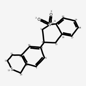 O=S1(=O)CC(c2ccc3c(c2)CCSC3)Cc2ccccc21